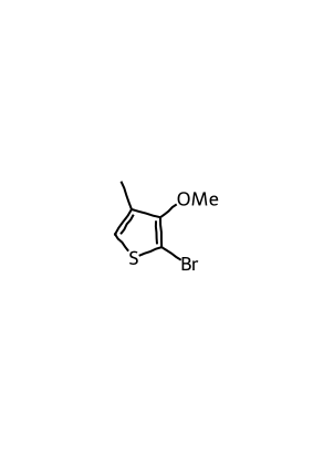 COc1c(C)csc1Br